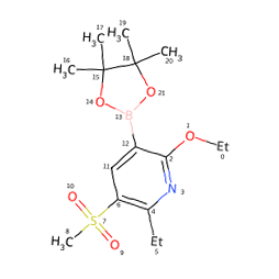 CCOc1nc(CC)c(S(C)(=O)=O)cc1B1OC(C)(C)C(C)(C)O1